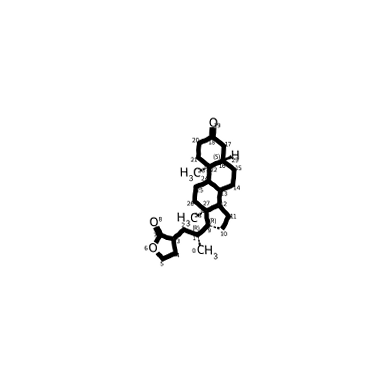 C[C@H](CC1CCOC1=O)[C@H]1CCC2C3CC[C@H]4CC(=O)CC[C@]4(C)C3CC[C@@]21C